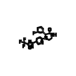 O=C1NCCN(c2ccc(-c3noc(C(F)(F)F)n3)cn2)C1c1cccc(F)c1